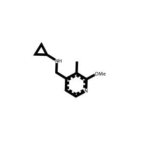 COc1nccc(CNC2CC2)c1C